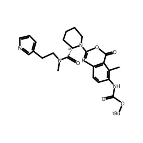 Cc1c(NC(=O)OC(C)(C)C)ccc2nc(N3CCCC[C@H]3C(=O)N(C)CCc3cccnc3)oc(=O)c12